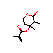 C=C(C)C(=O)OC1(C)CCOC(=O)C1C